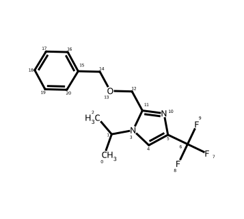 CC(C)n1cc(C(F)(F)F)nc1COCc1ccccc1